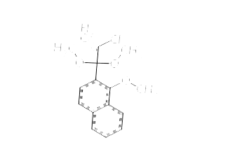 COc1c(C(OC)(OC)[C@H](C)Cl)ccc2ccccc12